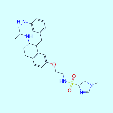 CC(C)NC1CCc2ccc(OCCNS(=O)(=O)C3CN(C)C=N3)cc2C1Cc1cccc(N)c1